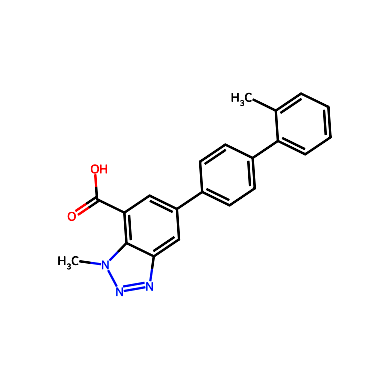 Cc1ccccc1-c1ccc(-c2cc(C(=O)O)c3c(c2)nnn3C)cc1